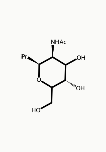 CC(=O)N[C@H]1C(O)[C@H](O)C(CO)O[C@H]1C(C)C